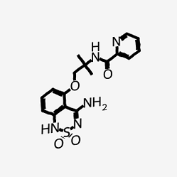 CC(C)(COc1cccc2c1C(N)=NS(=O)(=O)N2)NC(=O)c1ccccn1